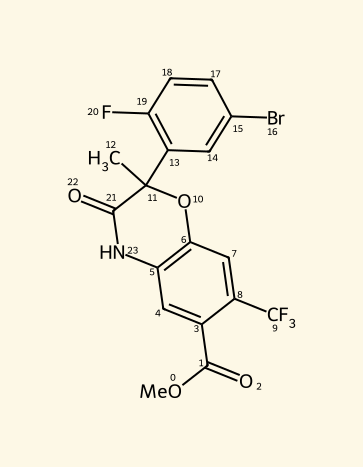 COC(=O)c1cc2c(cc1C(F)(F)F)OC(C)(c1cc(Br)ccc1F)C(=O)N2